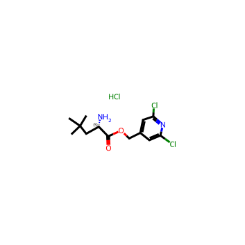 CC(C)(C)C[C@H](N)C(=O)OCc1cc(Cl)nc(Cl)c1.Cl